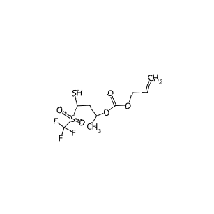 C=CCOC(=O)OC(C)CC(S)S(=O)(=O)C(F)(F)F